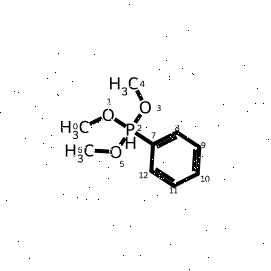 CO[PH](OC)(OC)c1ccccc1